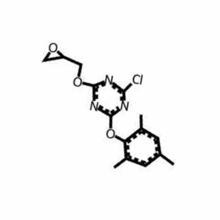 Cc1cc(C)c(Oc2nc(Cl)nc(OCC3CO3)n2)c(C)c1